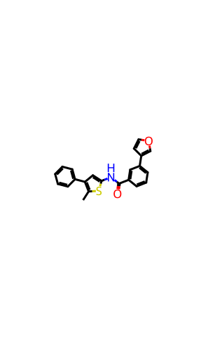 Cc1sc(NC(=O)c2cccc(-c3ccoc3)c2)cc1-c1ccccc1